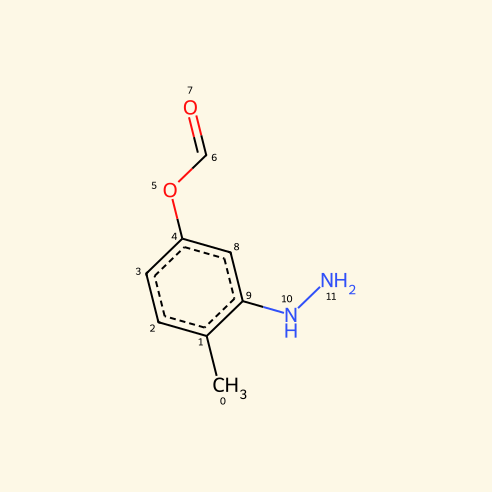 Cc1ccc(OC=O)cc1NN